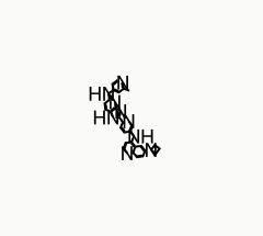 Cc1cc(Nc2ccc3[nH]c(-c4ccc(Nc5ccnc6ccc(N7CCC7)cc56)cn4)nc3n2)ccn1